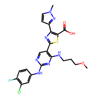 COCCCNc1nc(Nc2ccc(F)c(Cl)c2)ncc1-c1nc(-c2ccn(C)n2)c(C(=O)O)s1